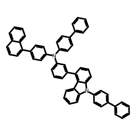 c1ccc(-c2ccc(N(c3ccc(-c4cccc5ccccc45)cc3)c3cccc(-c4cccc5c4c4ccccc4n5-c4ccc(-c5ccccc5)cc4)c3)cc2)cc1